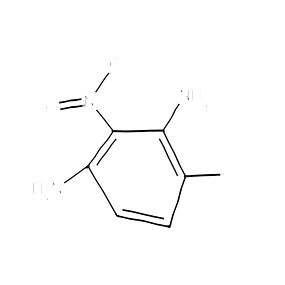 Cc1ccc(N)c([N+](=O)[O-])c1N